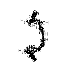 COc1cc2c3c(n(CCCN(CCO)C(=O)OCc4ccc(OC(=O)NCCCNC(=O)Oc5ccc(COC(=O)N(CCO)CCCn6c7c(c8cc(OC)c(OC)cc8c6=O)C(=O)c6cc8c(cc6-7)OCO8)cc5)cc4)c(=O)c2cc1OC)-c1cc2c(cc1C3=O)OCO2